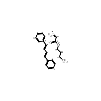 C(C=Cc1ccccc1)=Cc1ccccc1.C=CC(=O)OCCCC